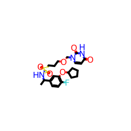 CC(NS(=O)(=O)CCCOCn1ccc(=O)[nH]c1=O)c1ccc(F)c(OC2CCCC2)c1